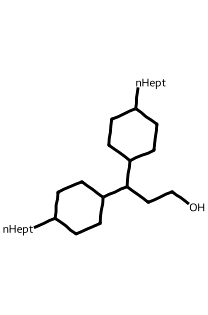 CCCCCCCC1CCC(C(CCO)C2CCC(CCCCCCC)CC2)CC1